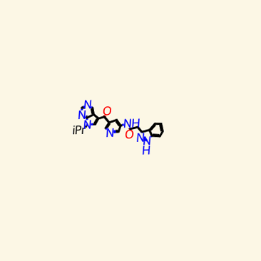 CC(C)n1cc(C(=O)c2cncc(NC(=O)Cc3n[nH]c4ccccc34)c2)c2cncnc21